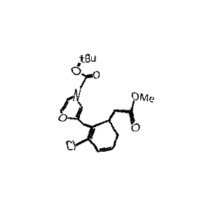 COC(=O)CC1CC=CC(Cl)=C1C1=CN(C(=O)OC(C)(C)C)C=CO1